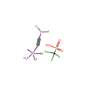 CCP(C)(P)(C#CP(F)F)CC.O=S(=O)(O)C(F)(F)F